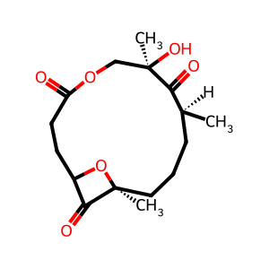 C[C@H]1CCC[C@]2(C)OC(CCC(=O)OC[C@@](C)(O)C1=O)C2=O